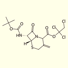 C=C1CS[C@@H]2[C@H](NC(=O)OC(C)(C)C)C(=O)N2C1C(=O)OC(Cl)(Cl)CCl